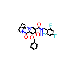 C[C@H]1CN2C(=O)c3c(OCc4ccccc4)c(=O)c(C(=O)NCc4c(F)cc(F)cc4F)cn3C[C@]23CCC13